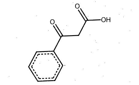 O=C(O)CC(=O)c1[c]cccc1